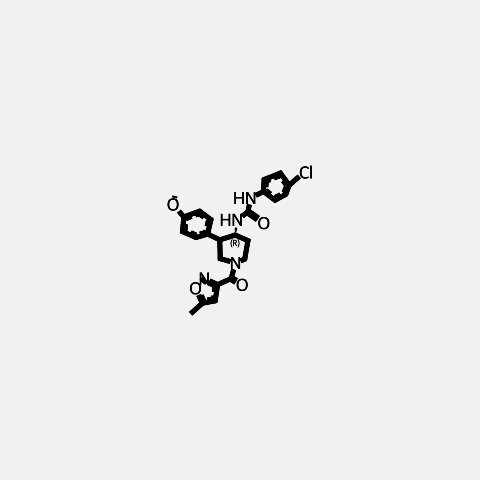 COc1ccc(C2CN(C(=O)c3cc(C)on3)CC[C@H]2NC(=O)Nc2ccc(Cl)cc2)cc1